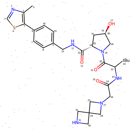 Cc1ncsc1-c1ccc(CNC(=O)[C@@H]2C[C@@H](O)CN2C(=O)C(NC(=O)CN2CC3(CNC3)C2)C(C)(C)C)cc1